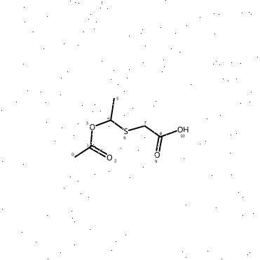 CC(=O)OC(C)SCC(=O)O